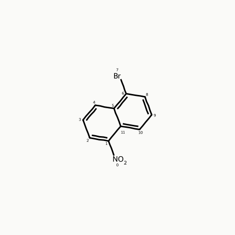 O=[N+]([O-])c1cccc2c(Br)cccc12